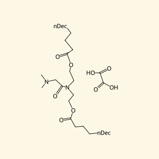 CCCCCCCCCCCCCC(=O)OCCN(CCOC(=O)CCCCCCCCCCCCC)C(=O)CN(C)C.O=C(O)C(=O)O